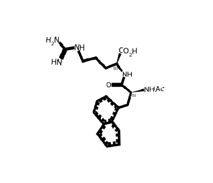 CC(=O)N[C@@H](Cc1cccc2ccccc12)C(=O)N[C@@H](CCCNC(=N)N)C(=O)O